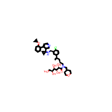 CC(CCCN(CC1CCOCC1)C(=O)[C@@H](O)[C@@H](O)[C@H](O)[C@@H](O)CO)c1ccc(Cl)c(CNC2(c3cnccc3-c3ccccc3OC3CC3)CC2)c1